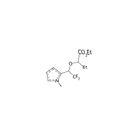 CCOC(=O)C(CC)OC(c1cccn1C)C(F)(F)F